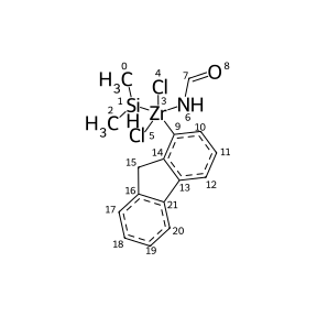 C[SiH](C)[Zr]([Cl])([Cl])([NH]C=O)[c]1cccc2c1Cc1ccccc1-2